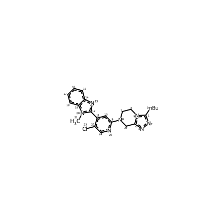 CCCCc1nnc2n1CCN(c1cc(-c3nc4ccccc4n3C)c(Cl)cn1)C2